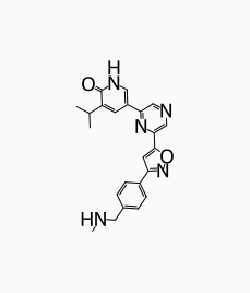 CNCc1ccc(-c2cc(-c3cncc(-c4c[nH]c(=O)c(C(C)C)c4)n3)on2)cc1